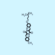 Cc1ccc(C=c2[nH]c(=O)c(=Cc3ccc(OCCCN(C)C)cc3)[nH]c2=O)cc1